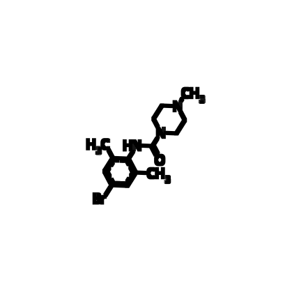 Cc1cc(Br)cc(C)c1NC(=O)N1CCN(C)CC1